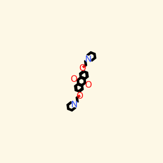 O=C1c2ccc(OCCN3CCCCC3)cc2C(=O)c2ccc(OCCN3CCCCC3)cc21